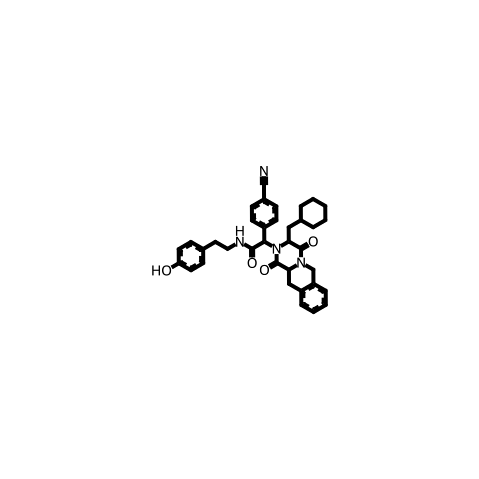 N#Cc1ccc(C(C(=O)NCCc2ccc(O)cc2)N2C(=O)C3Cc4ccccc4CN3C(=O)C2CC2CCCCC2)cc1